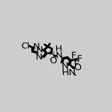 CNC(=O)c1ncc(NC(=O)[C@@H]2CC(C)(C)c3c2cnc2cc(Cl)nn32)cc1C(F)(F)F